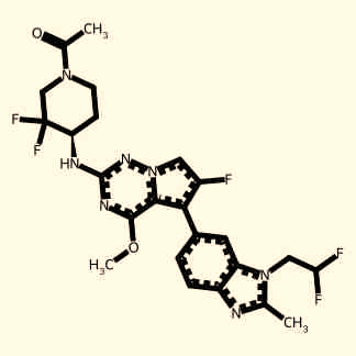 COc1nc(N[C@@H]2CCN(C(C)=O)CC2(F)F)nn2cc(F)c(-c3ccc4nc(C)n(CC(F)F)c4c3)c12